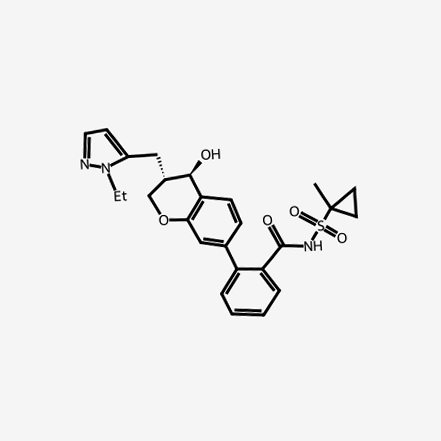 CCn1nccc1C[C@H]1COc2cc(-c3ccccc3C(=O)NS(=O)(=O)C3(C)CC3)ccc2[C@@H]1O